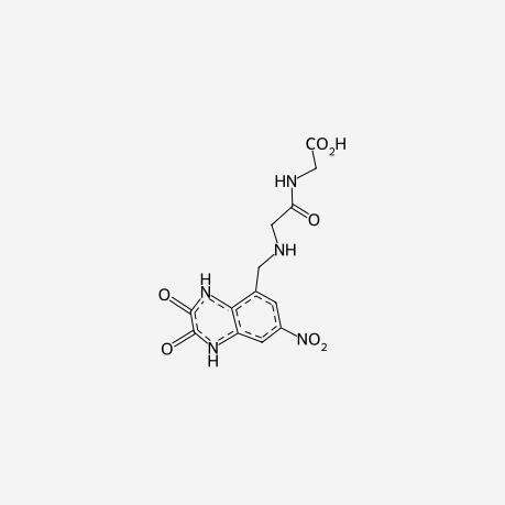 O=C(O)CNC(=O)CNCc1cc([N+](=O)[O-])cc2[nH]c(=O)c(=O)[nH]c12